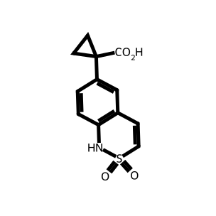 O=C(O)C1(c2ccc3c(c2)C=CS(=O)(=O)N3)CC1